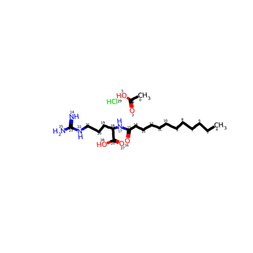 CC(=O)O.CCCCCCCCCCCC(=O)NC(CCCNC(=N)N)C(=O)O.Cl